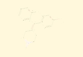 CCOc1ccc2c(c1)[Se]c1ccccc1C2=C1CCN(C)CC1